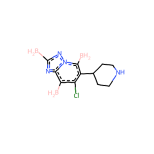 Bc1nc2c(B)c(Cl)c(C3CCNCC3)c(B)n2n1